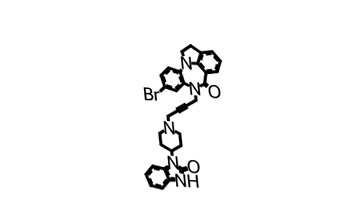 O=C1c2cccc3c2N(CC3)c2ccc(Br)cc2N1CC#CCN1CCC(n2c(=O)[nH]c3ccccc32)CC1